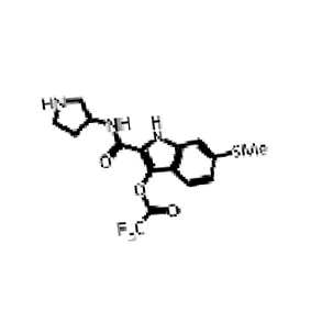 CSc1ccc2c(OC(=O)C(F)(F)F)c(C(=O)NC3CCNC3)[nH]c2c1